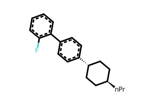 CCC[C@H]1CC[C@H](c2ccc(-c3ccccc3F)cc2)CC1